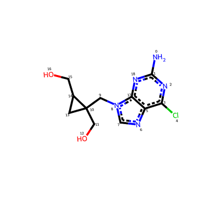 Nc1nc(Cl)c2ncn(CC3(CO)CC3CO)c2n1